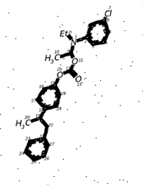 CCN(c1cccc(Cl)c1)C(C)OC(=O)Oc1ccc(C(C)Cc2ccccc2)cc1